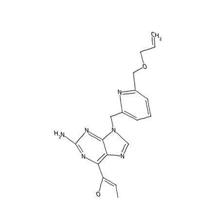 C=CCOCc1cccc(Cn2cnc3c(-c4ccco4)nc(N)nc32)n1